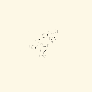 Cn1cc(N(Cc2ccc(C(F)(F)F)cc2F)C(=O)c2cc3c(cc2F)nc(N)c2cncn23)c(Cl)n1